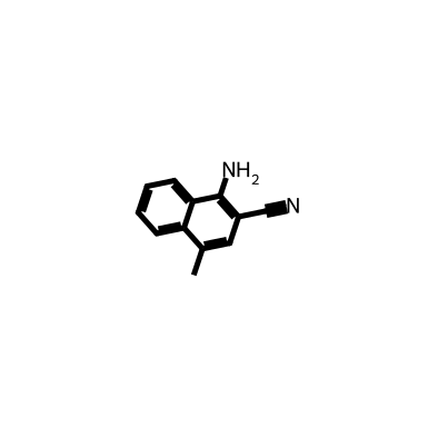 Cc1cc(C#N)c(N)c2ccccc12